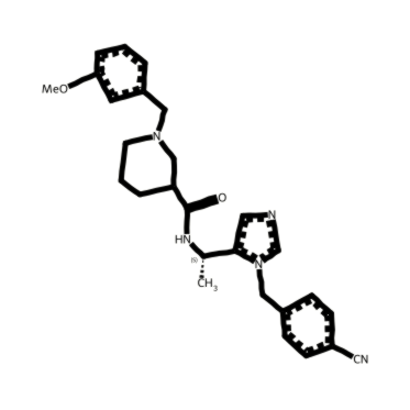 COc1cccc(CN2CCCC(C(=O)N[C@@H](C)c3cncn3Cc3ccc(C#N)cc3)C2)c1